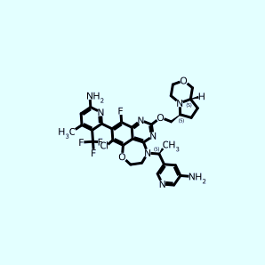 Cc1cc(N)nc(-c2c(Cl)c3c4c(nc(OC[C@@H]5CC[C@H]6COCCN65)nc4c2F)N([C@@H](C)c2cncc(N)c2)CCO3)c1C(F)(F)F